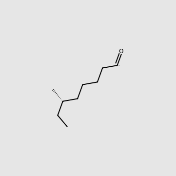 CC[C@H](C)CCCC[C]=O